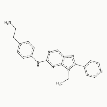 CCn1c(-c2ccncc2)nc2cnc(Nc3ccc(CCN)cc3)nc21